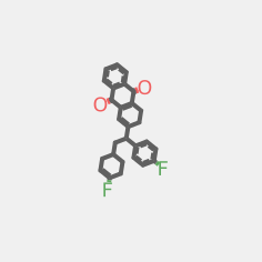 O=C1C2=C(CCC(C(CC3CC=C(F)CC3)c3ccc(F)cc3)=C2)C(=O)c2ccccc21